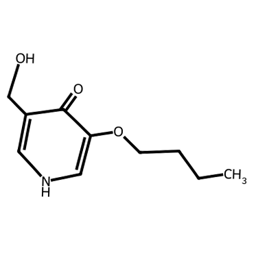 CCCCOc1c[nH]cc(CO)c1=O